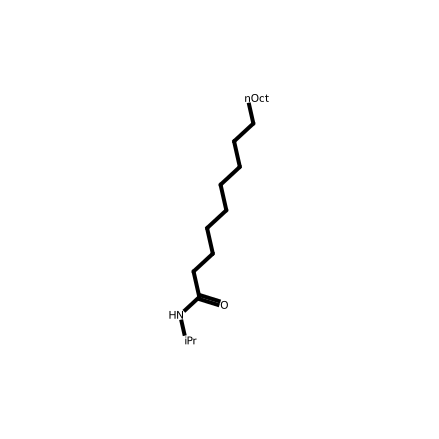 CCCCCCCCCCCCCCCCC(=O)NC(C)C